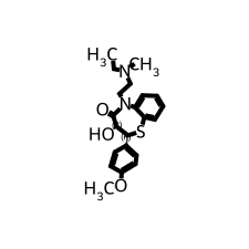 CCN(C)CCN1C(=O)[C@@H](O)[C@@H](c2ccc(OC)cc2)Sc2ccccc21